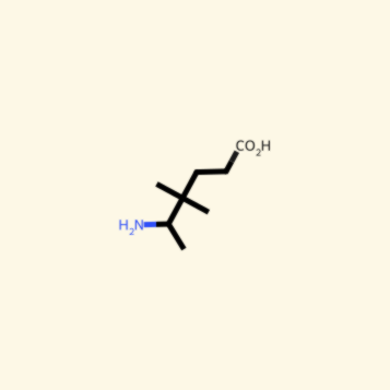 CC(N)C(C)(C)CCC(=O)O